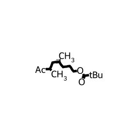 CC(=O)C(C)C[C@H](C)CCCOC(=O)C(C)(C)C